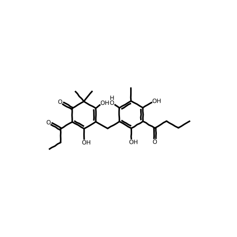 CCCC(=O)c1c(O)c(C)c(O)c(CC2=C(O)C(C)(C)C(=O)C(C(=O)CC)=C2O)c1O